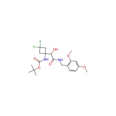 COc1ccc(CNC(=O)C(O)C2(NC(=O)OC(C)(C)C)CC(F)(F)C2)c(OC)c1